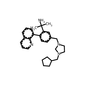 CC(C)(N)c1cc(CN2CCN(CC3CCCC3)C2)ccc1-c1cccc2cccnc12